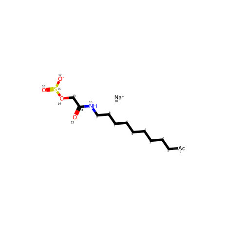 CC(=O)CCCCCCCCCNC(=O)COS(=O)[O-].[Na+]